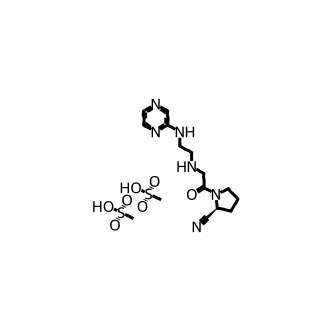 CS(=O)(=O)O.CS(=O)(=O)O.N#C[C@@H]1CCCN1C(=O)CNCCNc1cnccn1